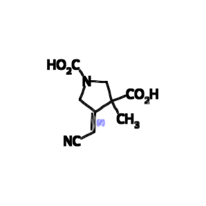 CC1(C(=O)O)CN(C(=O)O)C/C1=C\C#N